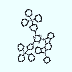 c1ccc(-n2c3ccccc3c3c2ccc2c4ccccc4n(-c4nc(-c5ccc([Si](c6ccccc6)(c6ccccc6)c6ccccc6)cc5)nc(-c5ccc([Si](c6ccccc6)(c6ccccc6)c6ccccc6)cc5)n4)c23)cc1